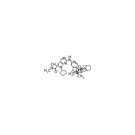 Cc1cc(Nc2ncc3cc(C(=O)N(C)C)n(C4CCCC4)c3n2)ncc1C(=O)N1CC2CCC(C1)N2C(=O)OC(C)(C)C